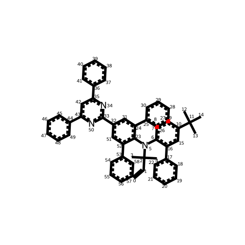 C=CC(C)(C)N(c1c(C)cc(C(C)(C)C)cc1-c1ccccc1)c1c(-c2ccccc2)cc(-c2nc(-c3ccccc3)cc(-c3ccccc3)n2)cc1-c1ccccc1